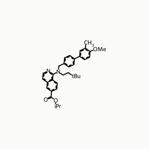 COc1ccc(-c2ccc(CN(CCC(C)(C)C)c3nccc4cc(C(=O)OC(C)C)ccc34)cc2)cc1C